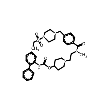 CCS(=O)(=O)N1CCN(Cc2ccc(C(=O)N(C)CCN3CCC(OC(=O)Nc4ccccc4-c4ccccc4)CC3)cc2)CC1